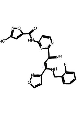 N=C(/C=C(\NCc1ccccc1F)c1ccon1)c1nccc(NC(=O)c2cc(O)no2)n1